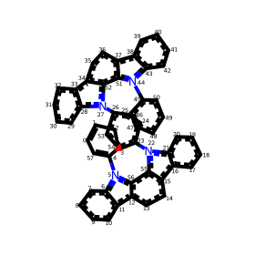 C1=CCCC(n2c3ccccc3c3ccc4c5ccccc5n(-c5ccc(-n6c7ccccc7c7ccc8c9ccccc9n(-c9ccccc9)c8c76)cc5)c4c32)=C1